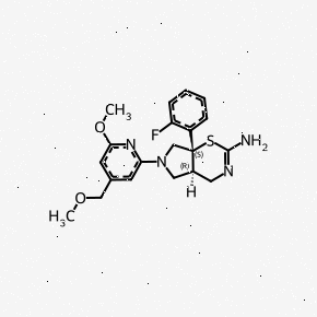 COCc1cc(OC)nc(N2C[C@@H]3CN=C(N)S[C@@]3(c3ccccc3F)C2)c1